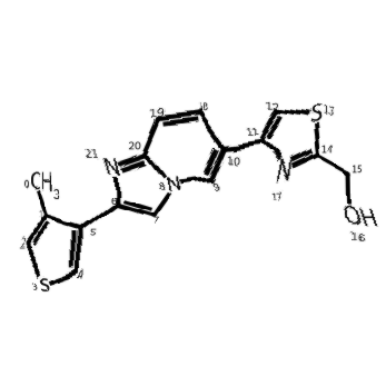 Cc1cscc1-c1cn2cc(-c3csc(CO)n3)ccc2n1